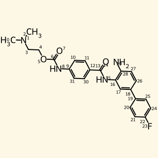 CN(C)CCOC(=O)Nc1ccc(C(=O)Nc2cc(-c3ccc(F)cc3)ccc2N)cc1